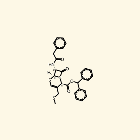 CSCC1=CS[C@H]2[C@H](NC(=O)Cc3ccccc3)C(=O)N2[C@H]1C(=O)OC(c1ccccc1)c1ccccc1